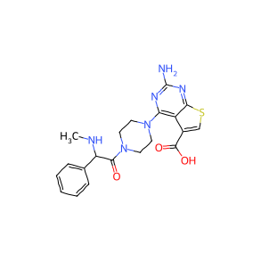 CNC(C(=O)N1CCN(c2nc(N)nc3scc(C(=O)O)c23)CC1)c1ccccc1